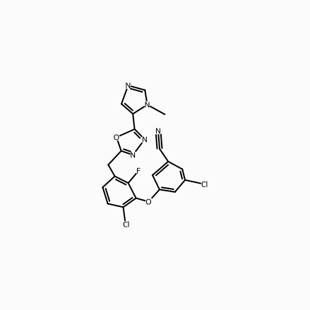 Cn1cncc1-c1nnc(Cc2ccc(Cl)c(Oc3cc(Cl)cc(C#N)c3)c2F)o1